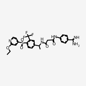 CCOc1cc(S(=O)(=O)c2ccc(C(C)NC(=O)CC(=O)Nc3ccc(C(=N)N)cc3)cc2C(F)(F)F)ccn1